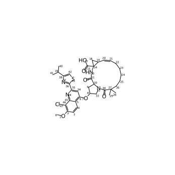 COc1ccc2c(OC3CC4C(=O)NC5(C(=O)O)CC5/C=C\CCCCCC(C)(C)C(=O)N4C3)cc(-c3nc(C(C)C)cs3)nc2c1Cl